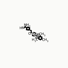 Cc1cc(C)c(S(=O)(=O)N2CCN(C(=O)Cc3ccc(C(=N)N)cc3)CC2)c(C)c1